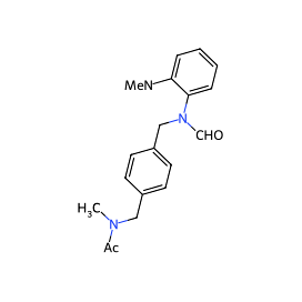 CNc1ccccc1N(C=O)Cc1ccc(CN(C)C(C)=O)cc1